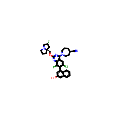 N#CC1CCCN(c2nc(OC[C@@]34CCCN3C[C@H](F)C4)nc3c(F)c(-c4cc(O)cc5ccccc45)c(Cl)cc23)CC1